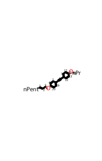 CCCCCC=CCOc1ccc(C#Cc2ccc(OCCC)cc2)cc1